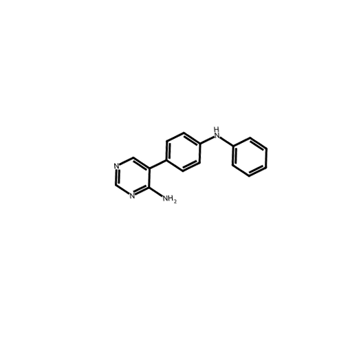 Nc1ncncc1-c1ccc(Nc2ccccc2)cc1